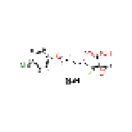 O=C(O)C1(C(F)CCCCOc2ccc(Cl)cc2)CO1.[NaH]